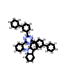 C1=CC2c3ccccc3N(c3ccccc3-c3nc(-c4ccc(-c5ccccc5)cc4)nc(-c4cccc(-c5ccccc5)c4)n3)C2C=C1